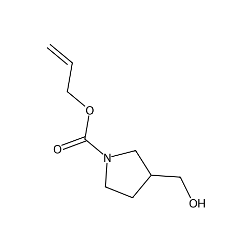 C=CCOC(=O)N1CCC(CO)C1